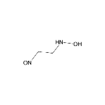 O=NCCNO